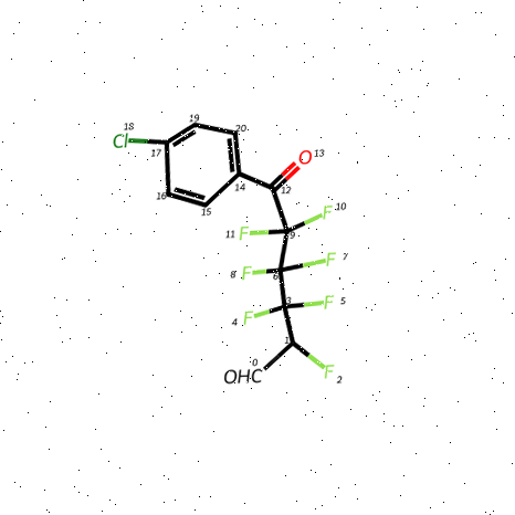 O=CC(F)C(F)(F)C(F)(F)C(F)(F)C(=O)c1ccc(Cl)cc1